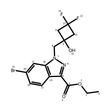 CCOC(=O)c1nn(CC2(O)CC(F)(F)C2)c2cc(Br)ccc12